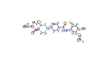 CC1CN(c2ccc(C(=O)Nc3cc(OC(F)(F)F)c(Br)cc3F)cn2)CCN1C(=O)OC(C)(C)C